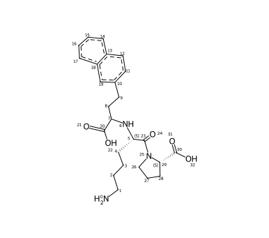 NCCCC[C@H](NC(CCc1ccc2ccccc2c1)C(=O)O)C(=O)N1CCC[C@H]1C(=O)O